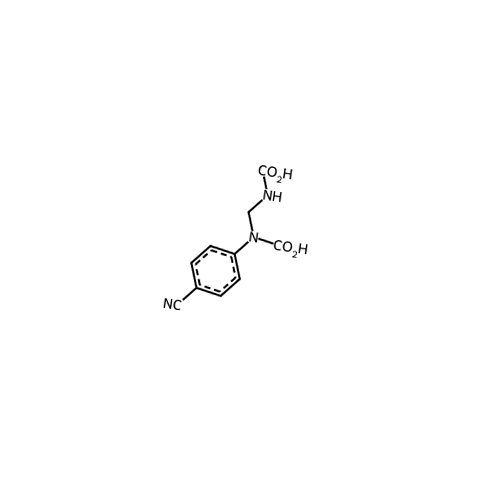 N#Cc1ccc(N(CNC(=O)O)C(=O)O)cc1